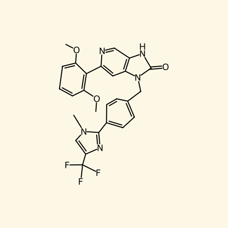 COc1cccc(OC)c1-c1cc2c(cn1)[nH]c(=O)n2Cc1ccc(-c2nc(C(F)(F)F)cn2C)cc1